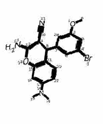 COc1cc(Br)cc(C2C(C#N)=C(N)Oc3cc(N(C)C)ccc32)c1